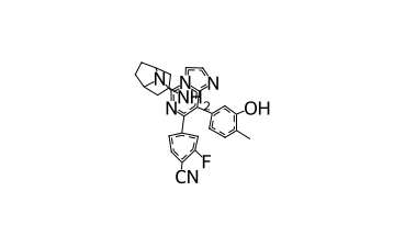 Cc1ccc(-c2c(-c3ccc(C#N)c(F)c3)nc(N3C4CCC3CC(N)C4)n3ccnc23)cc1O